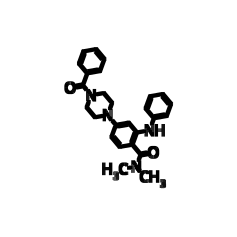 CN(C)C(=O)c1ccc(N2CCN(C(=O)c3ccccc3)CC2)cc1Nc1ccccc1